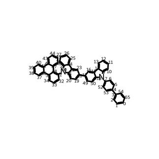 c1ccc(-c2ccc(-n3c4ccccc4c4cc(-c5ccc6c(c5)c5ccccc5n6-c5cccc6c7ccccc7c7ccccc7c56)ccc43)cc2)cc1